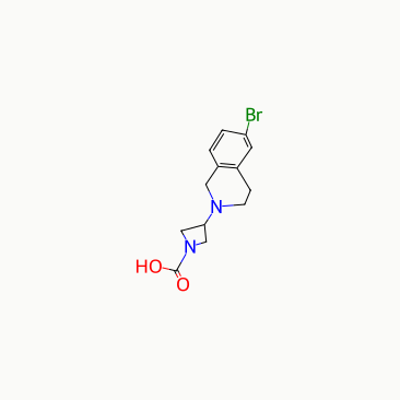 O=C(O)N1CC(N2CCc3cc(Br)ccc3C2)C1